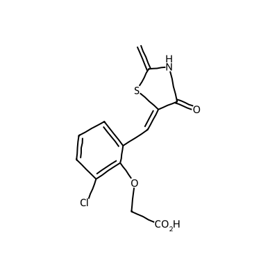 C=c1[nH]c(=O)/c(=C/c2cccc(Cl)c2OCC(=O)O)s1